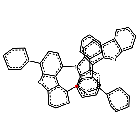 c1ccc(-c2nc(-c3ccccc3)nc(-c3cccc4oc5c(-c6ccccc6)ccc(-n6c7ccccc7c7c8oc9ccccc9c8ccc76)c5c34)n2)cc1